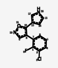 Fc1c(Cl)cccc1-c1cnoc1-c1cc[nH]c1